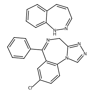 C1=Cc2ccccc2NN=C1.Clc1ccc2c(c1)C(c1ccccc1)=NCc1nncn1-2